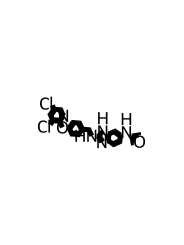 Clc1cnc(Oc2ccc(CNc3nc4ccc(NC5COC5)cc4[nH]3)cc2)c(Cl)c1